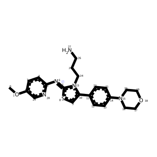 COc1ccc(/N=c2\scc(-c3ccc(N4CCOCC4)cc3)n2CCCN)nc1